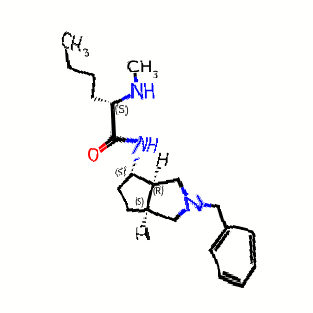 CCCC[C@H](NC)C(=O)N[C@H]1CC[C@@H]2CN(Cc3ccccc3)C[C@@H]21